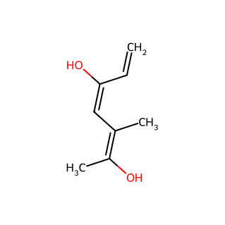 C=C/C(O)=C\C(C)=C(/C)O